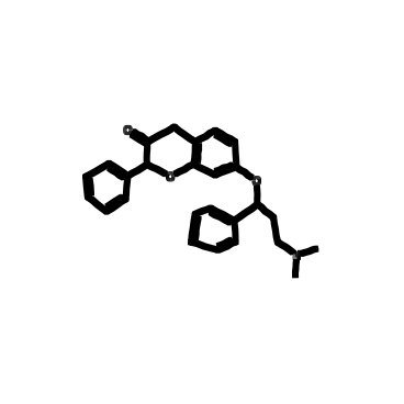 CN(C)CCC(Oc1ccc2c(c1)OC(c1ccccc1)C(=O)C2)c1ccccc1